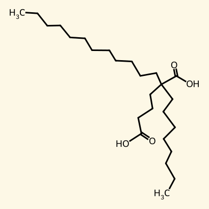 CCCCCCCCCCCCC(CCCCCCCC)(CCCC(=O)O)C(=O)O